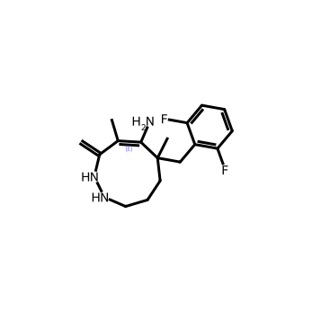 C=C1NNCCCC(C)(Cc2c(F)cccc2F)/C(N)=C\1C